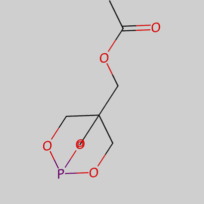 CC(=O)OCC12COP(OC1)OC2